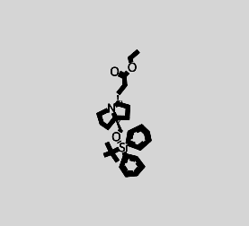 CCOC(=O)CC[C@@H]1CC[C@]2(CO[Si](c3ccccc3)(c3ccccc3)C(C)(C)C)CCCN12